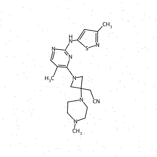 Cc1cc(Nc2ncc(C)c(N3CC(CC#N)(N4CCN(C)CC4)C3)n2)sn1